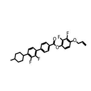 C=CCOc1ccc(OC(=O)c2ccc(-c3ccc(C4CCC(C)CC4)c(F)c3F)cc2)c(F)c1F